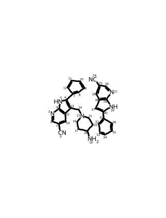 N#Cc1cnc2[nH]c(-c3ccccc3)c(CN3CCC(N)CC3)c2c1.N#Cc1cnc2[nH]c(-c3ccccc3)cc2c1